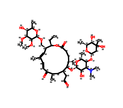 CC[C@H]1OC(=O)CC[C@H](C)[C@@H](O[C@@H]2O[C@H](C)[C@@H](O[C@H]3CC(C)(O)[C@@H](O)[C@@H](C)O3)C(N(C)C)C2O)[C@@H](CC=O)C[C@@H](C)C(=O)/C=C/C(C)=C/[C@@H]1CO[C@@H]1OC(C)[C@@H](O)[C@H](OC)C1OC